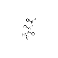 CNC(=O)C(=O)CC(C)=O